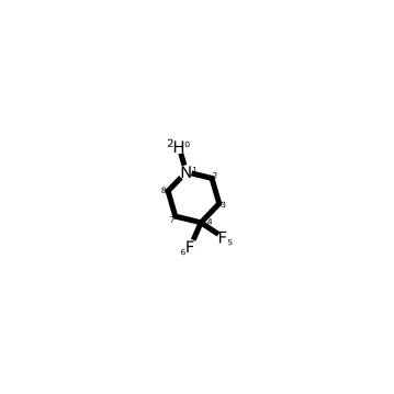 [2H]N1CCC(F)(F)CC1